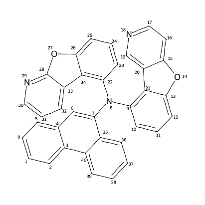 c1ccc2c(c1)cc(N(c1cccc3oc4ccncc4c13)c1cccc3oc4ncccc4c13)c1ccccc12